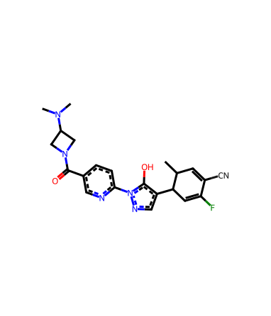 CC1C=C(C#N)C(F)=CC1c1cnn(-c2ccc(C(=O)N3CC(N(C)C)C3)cn2)c1O